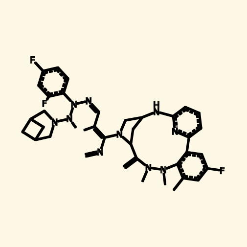 C=N/C(=C(C)/C=N\N(c1ccc(F)cc1F)N(C)N1CC2CC(C2)C1)N1CC2CC1C(=C)N(C)N(C)c1c(C)cc(F)cc1-c1cccc(n1)N2